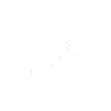 C=CCNc1cc(C(C)C)c2c(C)nn(C)c2n1